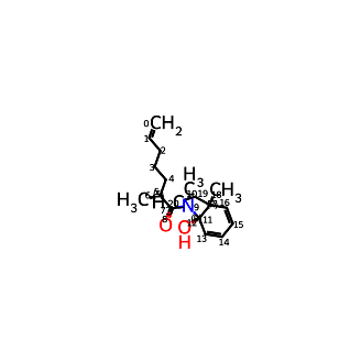 C=CCCC[C@H](C)C(=O)N(C)[C@@]1(O)C=CC=C[C@@]1(C)CC